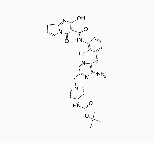 CC(C)(C)OC(=O)NC1CCN(Cc2cnc(Sc3cccc(NC(=O)c4c(O)nc5ccccn5c4=O)c3Cl)c(N)n2)CC1